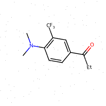 CCC(=O)c1ccc(N(C)C)c(C(F)(F)F)c1